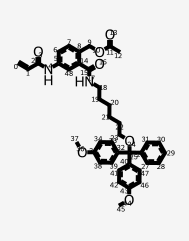 C=CC(=O)Nc1ccc(COC(C)=O)c(C(=O)NCCCCCCOC(c2ccccc2)(c2ccc(OC)cc2)c2ccc(OC)cc2)c1